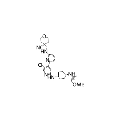 COC[C@H](C)N[C@H]1CC[C@H](Nc2cc(-c3cccc(NCC4(C#N)CCOCC4)n3)c(Cl)cn2)CC1